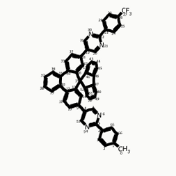 Cc1ccc(-c2ncc(-c3ccc4c(c3)C3(c5cc(-c6cnc(-c7ccc(C(F)(F)F)cc7)nc6)ccc5-c5ccccc5-4)c4ccccc4-c4ccccc43)cn2)cc1